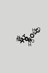 Cc1c(-c2cc3[nH]c(=O)n(C4CCC(NCC5CCOCC5)CC4)c3cc2C(C)C)cn2ncnc2c1C